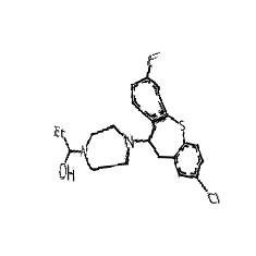 CCC(O)N1CCN(C2Cc3cc(Cl)ccc3Sc3cc(F)ccc32)CC1